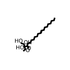 CCCCCCCCC=CCCCCCCCC(=O)C(O)(C(C)=O)C(O)CO